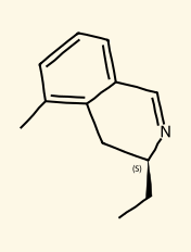 CC[C@H]1Cc2c(C)cccc2C=N1